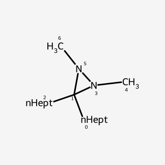 CCCCCCCC1(CCCCCCC)N(C)N1C